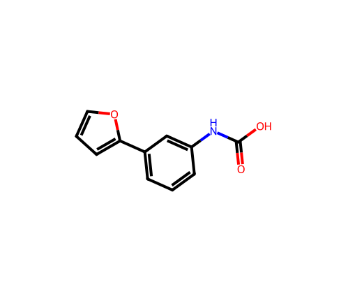 O=C(O)Nc1cccc(-c2ccco2)c1